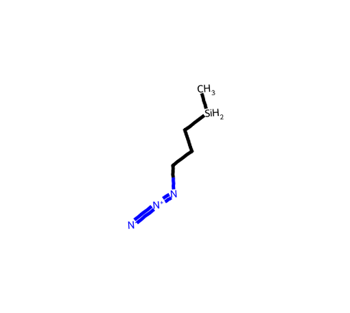 C[SiH2]CCCN=[N+]=[N-]